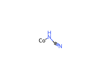 N#C[NH][Co]